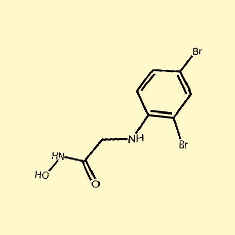 O=C(CNc1ccc(Br)cc1Br)NO